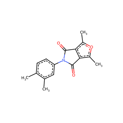 Cc1ccc(N2C(=O)c3c(C)oc(C)c3C2=O)cc1C